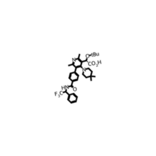 Cc1nc(C)c([C@H](OC(C)(C)C)C(=O)O)c(N2CCC(C)(C)CC2)c1-c1ccc(C(=O)NC(c2ccccc2)C(F)(F)F)cc1